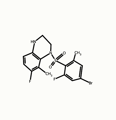 Cc1cc(Br)cc(F)c1S(=O)(=O)N1CCNc2ccc(F)c(C)c21